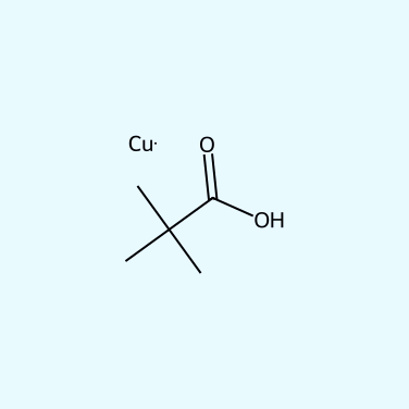 CC(C)(C)C(=O)O.[Cu]